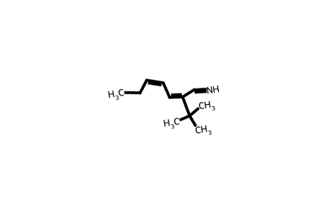 CC/C=C\C=C(/C=N)C(C)(C)C